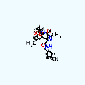 Cn1nc(C(=O)NCc2ccc(C#N)cc2)c2c1C(=O)N(CC1(S(=O)(=O)[C@H]3C[C@@H](C)C3)CC1)CC2